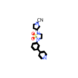 N#CN1CC[C@@H](N2CCN(c3cccc(-c4ccncc4)c3)S2(=O)=O)C1